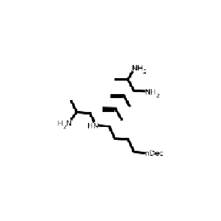 C=CC.C=CC.CC(N)CN.CCCCCCCCCCCCCCNCC(C)N